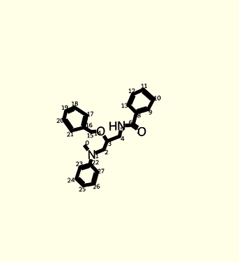 CN(CC(CNC(=O)c1ccccc1)OCc1ccccc1)c1ccccc1